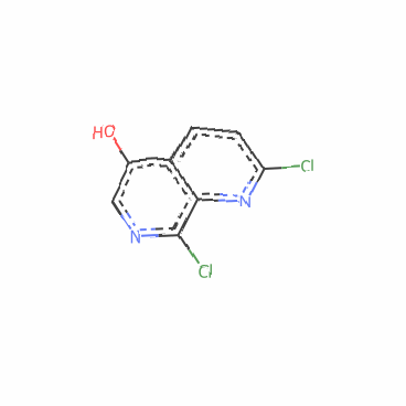 Oc1cnc(Cl)c2nc(Cl)ccc12